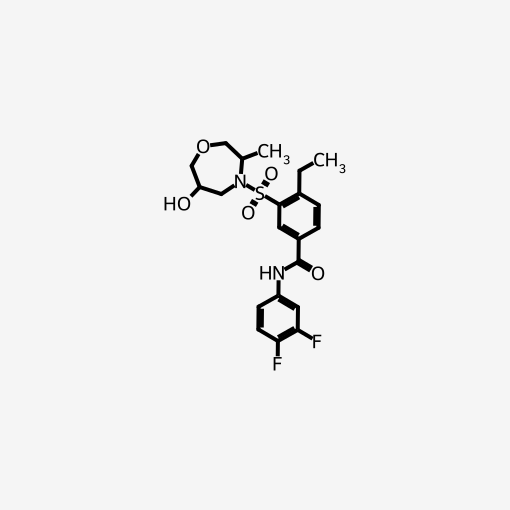 CCc1ccc(C(=O)Nc2ccc(F)c(F)c2)cc1S(=O)(=O)N1CC(O)COCC1C